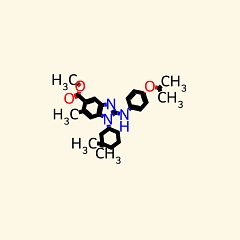 COC(=O)c1cc2nc(Nc3ccc(OC(C)C)cc3)n(C3CCCC(C)(C)C3)c2cc1C